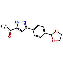 CC(=O)c1cc(-c2ccc(C3OCCO3)cc2)n[nH]1